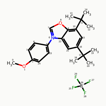 COc1ccc(-[n+]2coc3c(C(C)(C)C)cc(C(C)(C)C)cc32)cc1.F[B-](F)(F)F